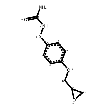 NC(=O)NSc1ccc(OCC2CO2)cc1